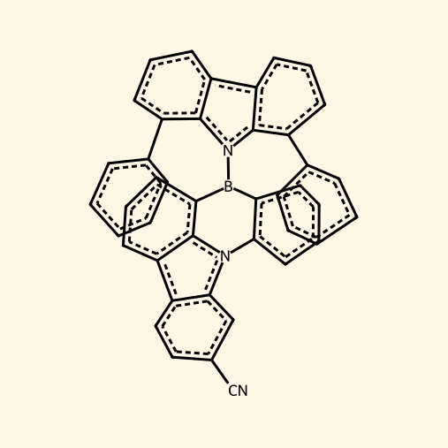 N#Cc1ccc2c3cccc4c3n(c2c1)-c1ccccc1B4n1c2c(-c3ccccc3)cccc2c2cccc(-c3ccccc3)c21